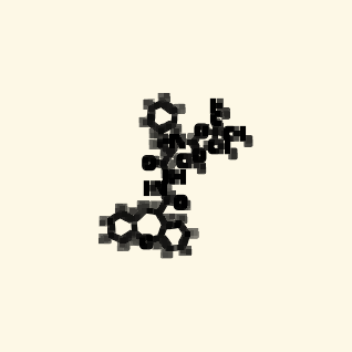 CC(C)(C)OC(=O)N[C@](C)(Cc1ccccc1)C(=O)NNC(=O)C1Cc2ccccc2Oc2ccccc21